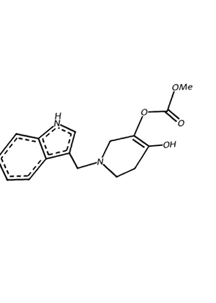 COC(=O)OC1=C(O)CCN(Cc2c[nH]c3ccccc23)C1